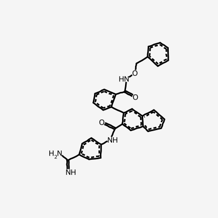 N=C(N)c1ccc(NC(=O)c2cc3ccccc3cc2-c2ccccc2C(=O)NOCc2ccccc2)cc1